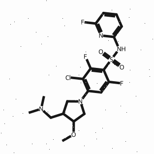 COC1CN(c2cc(F)c(S(=O)(=O)Nc3cccc(F)n3)c(F)c2Cl)CC1CN(C)C